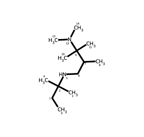 CCC(C)(C)NCC(C)C(C)(C)N(C)C